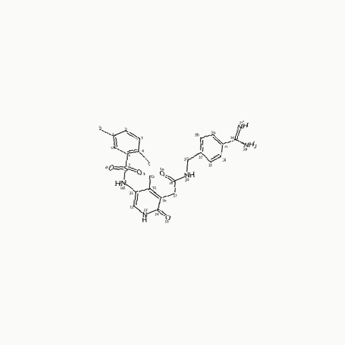 Cc1ccc(C)c(S(=O)(=O)Nc2c[nH]c(=O)c(CC(=O)NCc3ccc(C(=N)N)cc3)c2C)c1